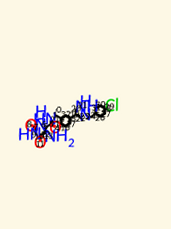 C[C@@H](NC(=O)c1[nH]c(=O)[nH]c(=O)c1N)c1cccc(/C(C=N)=C/NCc2ccc(Cl)cc2)c1